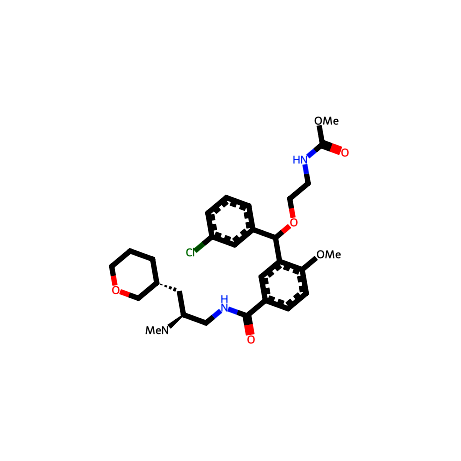 CN[C@H](CNC(=O)c1ccc(OC)c(C(OCCNC(=O)OC)c2cccc(Cl)c2)c1)C[C@H]1CCCOC1